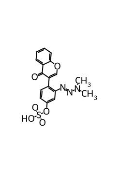 CN(C)N=Nc1cc(OS(=O)(=O)O)ccc1-c1coc2ccccc2c1=O